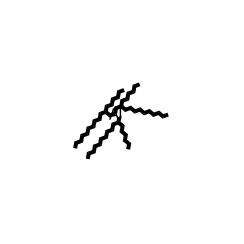 CCCCCCCCCCC(CCCCCC)[CH2][Al]([CH2]C(CCCCCC)CCCCCCCCCC)[CH2]C(CCCCCC)CCCCCCCCCC